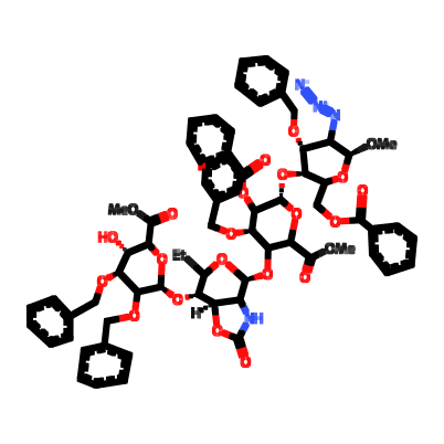 CCC1O[C@@H](OC2C(C(=O)OC)O[C@@H](O[C@@H]3C(COC(=O)c4ccccc4)O[C@H](OC)C(N=[N+]=[N-])[C@H]3OCc3ccccc3)C(OC(=O)c3ccccc3)[C@@H]2OCc2ccccc2)C2NC(=O)O[C@H]2[C@@H]1O[C@@H]1OC(C(=O)OC)[C@@H](O)[C@H](OCc2ccccc2)C1OCc1ccccc1